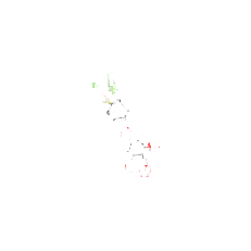 COc1cc(OCc2ccc(SC(F)(F)F)cc2)cc(OC)c1C=O